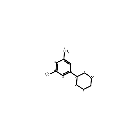 Cc1cc(C2CCCOC2)cc(C(F)(F)F)c1